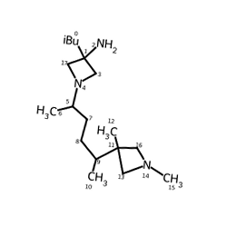 CCC(C)C1(N)CN(C(C)CCC(C)C2(C)CN(C)C2)C1